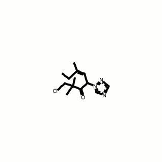 CCC(C)=CC(C(=O)C(C)(C)CCl)n1cncn1